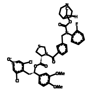 COc1ccc([C@H](Cc2c(Cl)c[n+]([O-])cc2Cl)OC(=O)[C@@H]2CSCN2C(=O)c2cccc(CN(C(=O)O[C@H]3CN4CCC3CC4)c3ccccc3F)c2)cc1OC